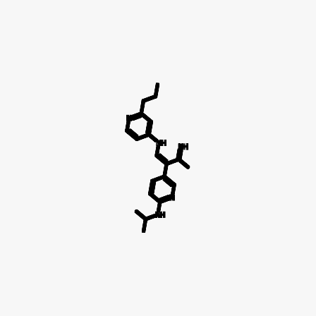 CCCc1cc(N/C=C(\C(C)=N)c2ccc(NC(C)C)nc2)ccn1